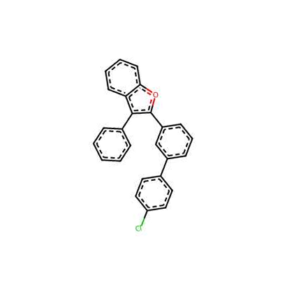 Clc1ccc(-c2cccc(-c3oc4ccccc4c3-c3ccccc3)c2)cc1